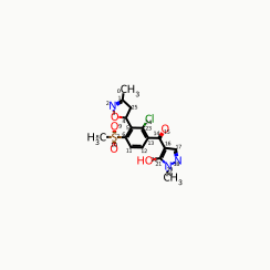 CC1=NOC(c2c(S(C)(=O)=O)ccc(C(=O)c3cnn(C)c3O)c2Cl)C1